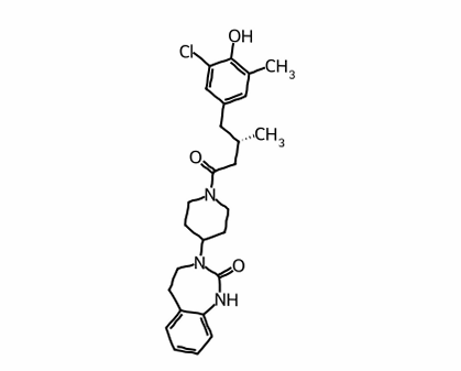 Cc1cc(C[C@H](C)CC(=O)N2CCC(N3CCc4ccccc4NC3=O)CC2)cc(Cl)c1O